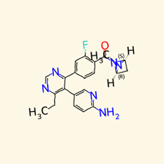 CCc1ncnc(-c2ccc(C(=O)N3[C@@H]4C[C@H]3N4C)c(F)c2)c1-c1ccc(N)nc1